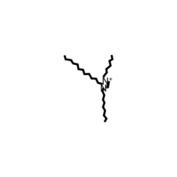 CCCCCCCCCCCCc1n(CCCCCCCCC)cc[n+]1CCCCCCC